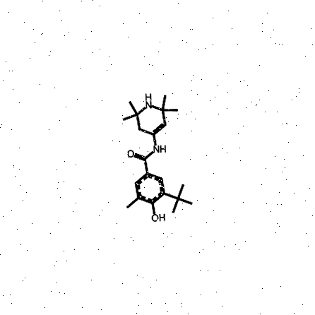 Cc1cc(C(=O)NC2=CC(C)(C)NC(C)(C)C2)cc(C(C)(C)C)c1O